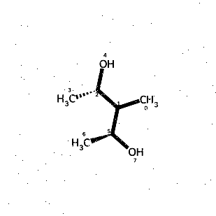 CC([C@H](C)O)[C@H](C)O